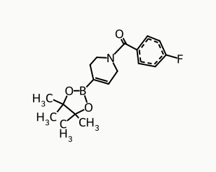 CC1(C)OB(C2=CCN(C(=O)c3ccc(F)cc3)CC2)OC1(C)C